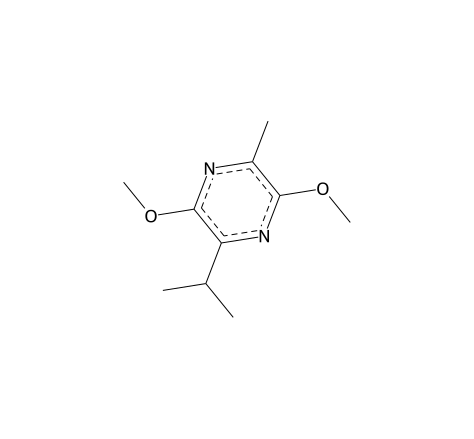 COc1nc(C(C)C)c(OC)nc1C